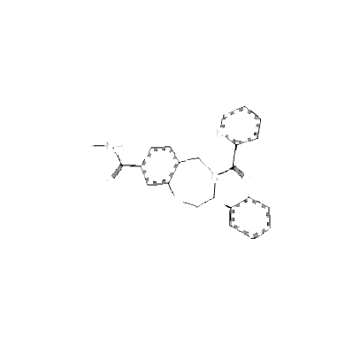 O=C(NO)c1ccc2c(c1)OC[C@H](c1ccccc1)N(C(=O)c1ccccn1)C2